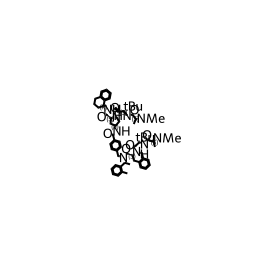 CN[C@@H](C)C(=O)NC(C(=O)N1Cc2ccccc2C[C@H]1C(=O)N(Cc1ccc(C(=O)N[C@H]2C[C@@H](C(=O)N[C@@H]3CCCc4ccccc43)N(C(=O)[C@@H](NC(=O)[C@H](C)NC)C(C)(C)C)C2)cc1)C(C)c1ccccc1C)C(C)(C)C